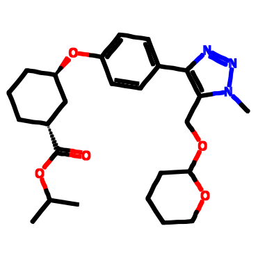 CC(C)OC(=O)[C@@H]1CCC[C@@H](Oc2ccc(-c3nnn(C)c3COC3CCCCO3)cc2)C1